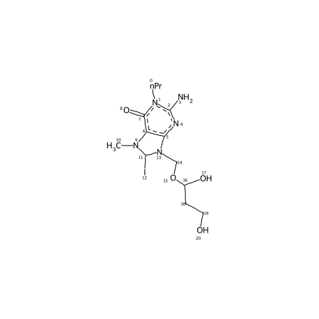 CCCn1c(N)nc2c(c1=O)N(C)C(I)N2COC(O)CCO